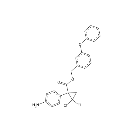 Nc1ccc(C2(C(=O)OCc3cccc(Oc4ccccc4)c3)CC2(Cl)Cl)cc1